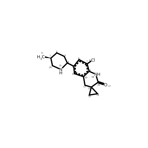 C[C@H]1CCC(c2cc(Cl)c3c(c2)CC2(CC2)C(=O)N3)NC1